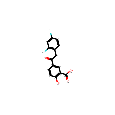 O=C(Cc1ccc(F)cc1F)c1ccc(O)c(C(=O)O)c1